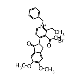 CCc1c(C(C)=O)c(C2Cc3cc(OC)c(OC)cc3C2=O)cc[n+]1Cc1ccccc1.[Br-]